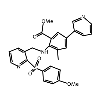 COC(=O)c1cc(-c2cccnc2)cc(C)c1NCc1cccnc1S(=O)(=O)c1ccc(OC)cc1